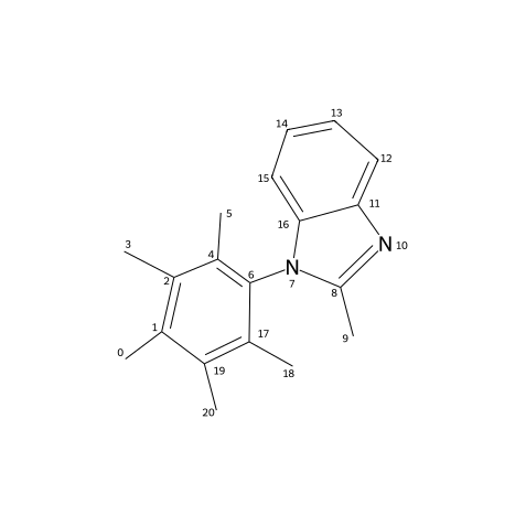 Cc1c(C)c(C)c(-n2c(C)nc3ccccc32)c(C)c1C